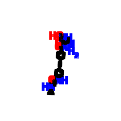 C[C@@H](N)[C@H](NC(=O)c1ccc(C#Cc2ccc(NC(=O)CNC3CC3)cc2)cc1)C(=O)NO